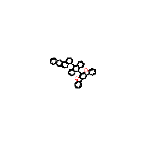 c1ccc2cc3c(ccc4c(-c5c6ccccc6c(-c6c7oc8ccccc8c7cc7c6oc6ccccc67)c6ccccc56)cccc43)cc2c1